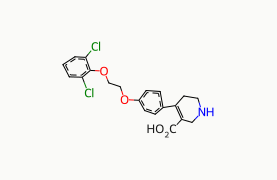 O=C(O)C1=C(c2ccc(OCCOc3c(Cl)cccc3Cl)cc2)CCNC1